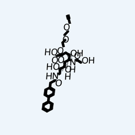 C#CCOCCOCCO[C@]1(C(=O)O)C[C@H](O)[C@@H](NC(=O)CO)[C@H]([C@H](O)[C@H](O)CNC(=O)Cc2ccc(-c3ccccc3)cc2)O1